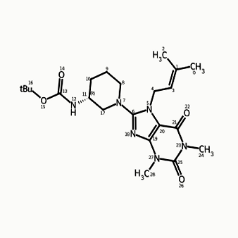 CC(C)=CCn1c(N2CCC[C@@H](NC(=O)OC(C)(C)C)C2)nc2c1c(=O)n(C)c(=O)n2C